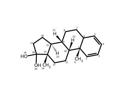 C[C@]12C=CC=CC1CC[C@@H]1[C@H]2CC[C@@]2(C)[C@H]1CCC2(O)O